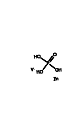 O=P(O)(O)O.[V].[Zn]